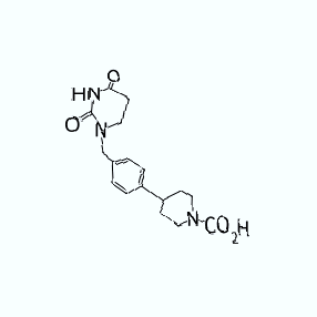 O=C1CCN(Cc2ccc(C3CCN(C(=O)O)CC3)cc2)C(=O)N1